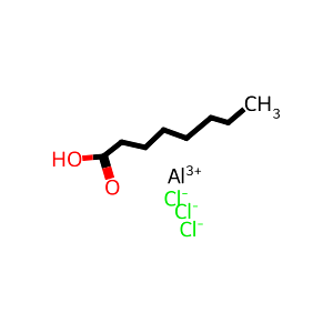 CCCCCCCC(=O)O.[Al+3].[Cl-].[Cl-].[Cl-]